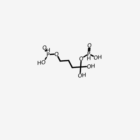 O=[PH](O)OCCCC(O)(O)O[PH](=O)O